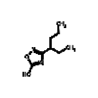 CCCC(CC)c1noc(O)n1